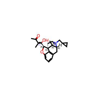 CC(=O)/C(C)=C(\O)[C@@H]1Oc2cccc3c2[C@@]12CCN(CC1CC1)[C@H](C3)[C@@H]2C